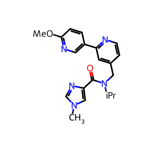 COc1ccc(-c2cc(CN(C(=O)c3cn(C)cn3)C(C)C)ccn2)cn1